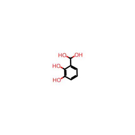 O[C](O)c1cccc(O)c1O